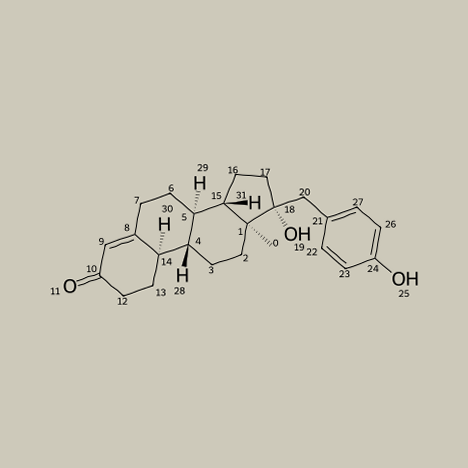 C[C@]12CC[C@H]3[C@@H](CCC4=CC(=O)CC[C@@H]43)[C@@H]1CC[C@@]2(O)Cc1ccc(O)cc1